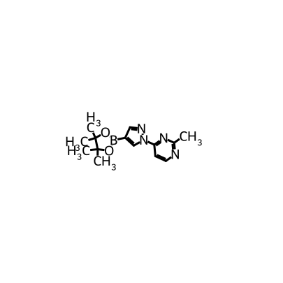 Cc1nccc(-n2cc(B3OC(C)(C)C(C)(C)O3)cn2)n1